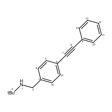 CC(C)(C)NCc1ccc(C#Cc2ccccc2)cc1